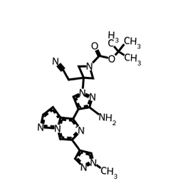 Cn1cc(-c2cn3nccc3c(-c3cn(C4(CC#N)CN(C(=O)OC(C)(C)C)C4)nc3N)n2)cn1